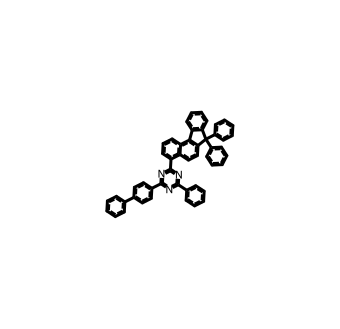 c1ccc(-c2ccc(-c3nc(-c4ccccc4)nc(-c4cccc5c6c(ccc45)C(c4ccccc4)(c4ccccc4)c4ccccc4-6)n3)cc2)cc1